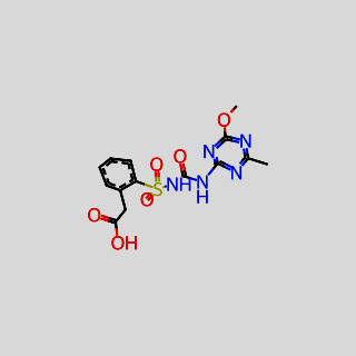 COc1nc(C)nc(NC(=O)NS(=O)(=O)c2ccccc2CC(=O)O)n1